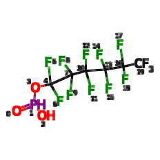 O=[PH](O)OC(F)(F)C(F)(F)C(F)(F)C(F)(F)C(F)(F)C(F)(F)F